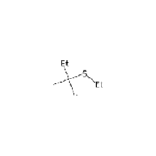 [CH2]C(C)(CC)SCC